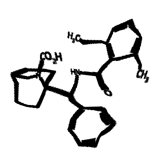 Cc1cccc(C)c1C(=O)NC(c1ccccc1)C12CCC(CC1)N2C(=O)O